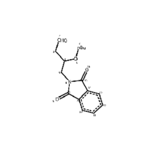 CCCCOC(CC=O)CN1C(=O)c2ccccc2C1=O